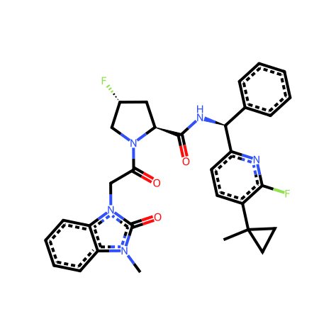 Cn1c(=O)n(CC(=O)N2C[C@H](F)C[C@H]2C(=O)N[C@@H](c2ccccc2)c2ccc(C3(C)CC3)c(F)n2)c2ccccc21